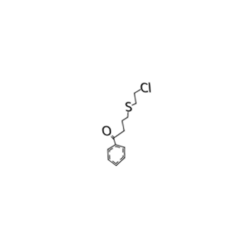 O=C(CCCSCCCl)c1ccccc1